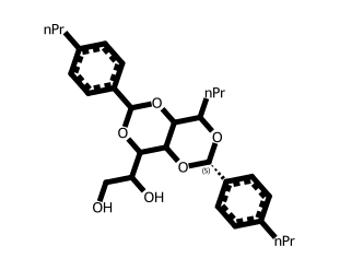 CCCc1ccc(C2OC(C(O)CO)C3O[C@@H](c4ccc(CCC)cc4)OC(CCC)C3O2)cc1